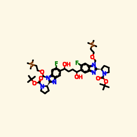 CC(C)(C)OC(=O)N1CCC[C@H]1c1nc2cc([C@@H](O)CC[C@H](O)c3cc4nc([C@@H]5CCCN5C(=O)OC(C)(C)C)n(COCCS(C)(C)C)c4cc3F)c(F)cc2n1COCCS(C)(C)C